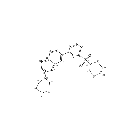 O=S(=O)(c1cncc(-c2ccc3ncc(N4CCOCC4)nc3c2)c1)N1CCOCC1